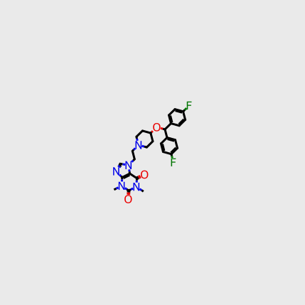 Cn1c(=O)c2c(ncn2CCN2CCC(OC(c3ccc(F)cc3)c3ccc(F)cc3)CC2)n(C)c1=O